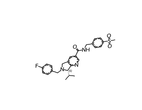 CC(C)[C@H]1c2ncc(C(=O)NCc3ccc(S(C)(=O)=O)cc3)cc2CN1Cc1ccc(F)cc1